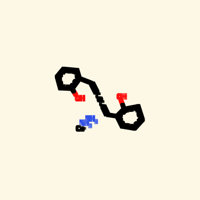 N.N.Oc1ccccc1C=C=C=Cc1ccccc1O.[Co]